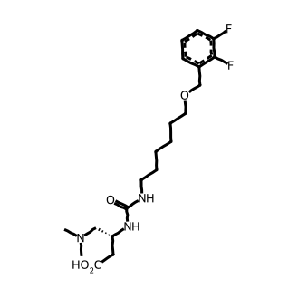 CN(C)C[C@@H](CC(=O)O)NC(=O)NCCCCCCOCc1cccc(F)c1F